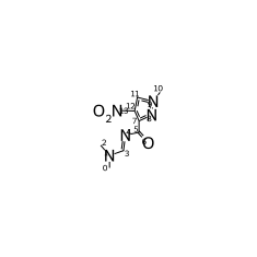 CN(C)C=NC(=O)c1nn(C)cc1[N+](=O)[O-]